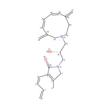 C=C/C=C\C1=C(C)CN(C[C@H](O)CN2CCC(=C)/C=C\C=C/C(=C)C2)C1=O